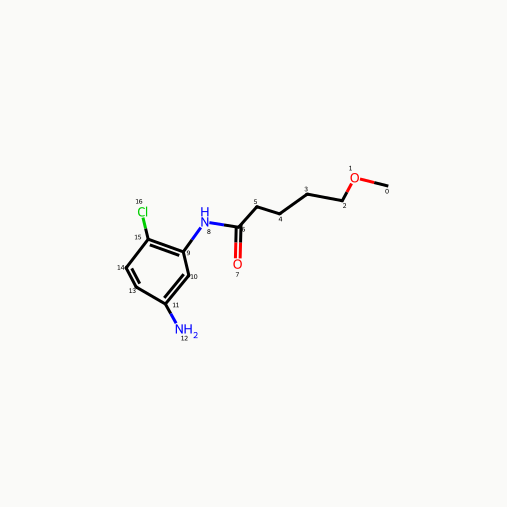 COCCCCC(=O)Nc1cc(N)ccc1Cl